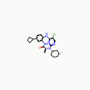 C=CC(=O)Nc1cc(C2CCC2)ccc1Nc1nc(N[C@H]2CCC[C@@H](C)C2)ncc1Cl